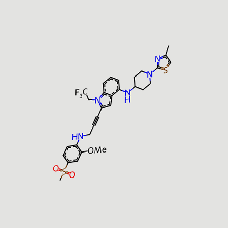 COc1cc(S(C)(=O)=O)ccc1NCC#Cc1cc2c(NC3CCN(c4nc(C)cs4)CC3)cccc2n1CC(F)(F)F